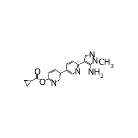 Cn1ncc(-c2ccc(-c3ccc(OC(=O)C4CC4)nc3)cn2)c1N